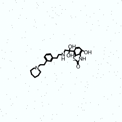 O=c1[nH]c2c(O)ccc(C(O)(O)CNCCc3cccc(CCN4CCCCCC4)c3)c2s1